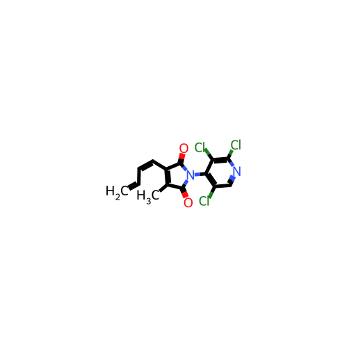 C=C/C=C\C1=C(C)C(=O)N(c2c(Cl)cnc(Cl)c2Cl)C1=O